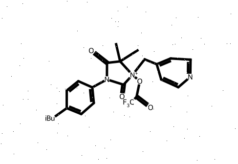 CCC(C)c1ccc(N2C(=O)C(C)(C)[N+](Cc3ccncc3)(OC(=O)C(F)(F)F)C2=O)cc1